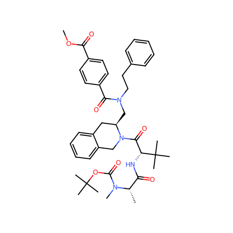 COC(=O)c1ccc(C(=O)N(CCc2ccccc2)C[C@@H]2Cc3ccccc3CN2C(=O)[C@@H](NC(=O)[C@H](C)N(C)C(=O)OC(C)(C)C)C(C)(C)C)cc1